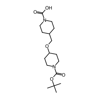 CC(C)(C)OC(=O)N1CCC(OCC2CCN(C(=O)O)CC2)CC1